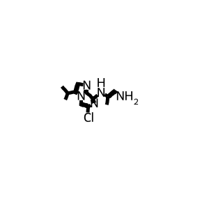 C/C(=C\N)Nc1nc(Cl)cn2c(C(C)C)cnc12